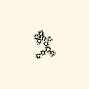 C1=C[C@@H](c2ccc(-c3cc4c(cc3-c3ccccc3)-c3ccccc3C4(c3ccccc3)c3ccccc3)cc2)N=C(c2ccc(-c3ccccc3)cc2)C=C1c1ccccc1